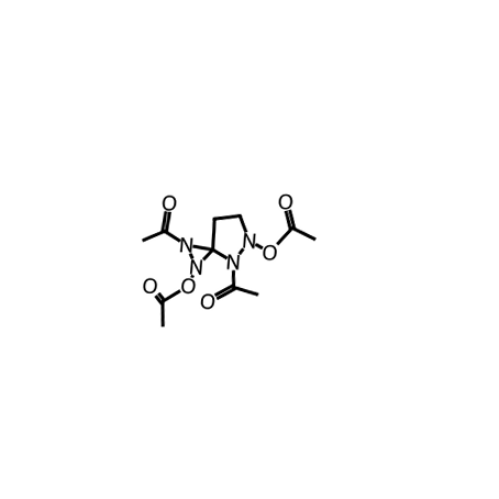 CC(=O)ON1CCC2(N(OC(C)=O)N2C(C)=O)N1C(C)=O